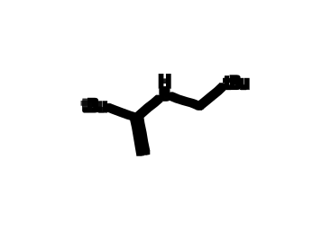 C=C(BCC(C)(C)C)C(C)(C)C